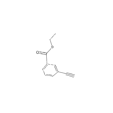 C#Cc1cccc(C(=O)OCC)c1